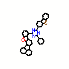 c1ccc(-c2nc(-c3ccc4c(c3)sc3ccccc34)nc(-c3cccc4oc5c6c(ccc5c34)-c3cccc4cccc-6c34)n2)cc1